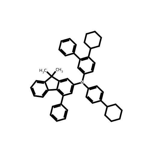 CC1(C)c2ccccc2-c2c(-c3ccccc3)cc(N(c3ccc(C4CCCCC4)cc3)c3ccc(C4CCCCC4)c(-c4ccccc4)c3)cc21